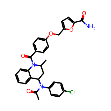 CC(=O)N(c1ccc(Cl)cc1)C1CC(C)N(C(=O)c2ccc(OCc3ccc(C(N)=O)o3)cc2)c2ccccc21